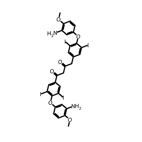 COc1ccc(Oc2c(I)cc(CC(=O)CC(=O)c3cc(I)c(Oc4ccc(OC)c(N)c4)c(I)c3)cc2I)cc1N